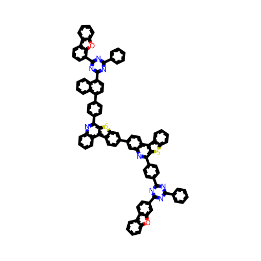 c1ccc(-c2nc(-c3ccc(-c4nc5cc(-c6ccc7c(c6)sc6c(-c8ccc(-c9ccc(-c%10nc(-c%11ccccc%11)nc(-c%11cccc%12c%11oc%11ccccc%11%12)n%10)c%10ccccc9%10)cc8)nc8ccccc8c67)ccc5c5c4sc4ccccc45)cc3)nc(-c3ccc4c(c3)oc3ccccc34)n2)cc1